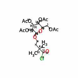 CC(=O)OC[C@H]1O[C@@H](OCCC(C)(C)C(=O)Cl)[C@H](OC(C)=O)[C@@H](OC(C)=O)[C@H]1OC(C)=O